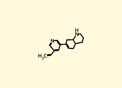 C=Cc1cncc(C2=CCC3CCCNC3C2)c1